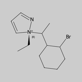 CC[N@@+]1(C(C)C2CCCCC2Br)C=CC=N1